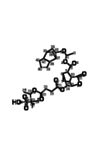 CC(OC(=O)C1C2CC3C(OC(=O)C31)C2OC(=O)CCC(=O)OC(C)C(F)(F)S(=O)(=O)O)OC1CC2CC1C1CCCC21